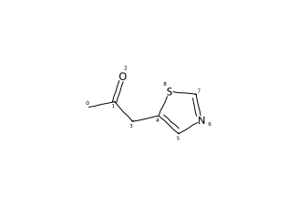 CC(=O)Cc1cncs1